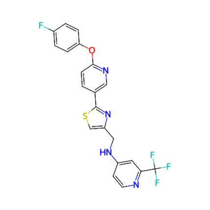 Fc1ccc(Oc2ccc(-c3nc(CNc4ccnc(C(F)(F)F)c4)cs3)cn2)cc1